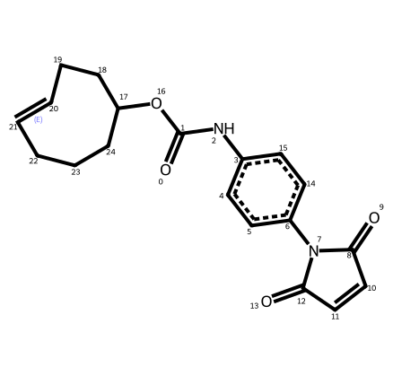 O=C(Nc1ccc(N2C(=O)C=CC2=O)cc1)OC1CC/C=C/CCC1